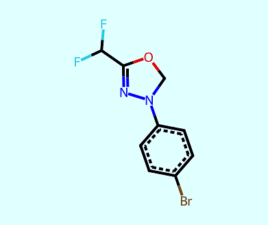 FC(F)C1=NN(c2ccc(Br)cc2)CO1